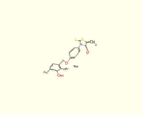 C=C1SC(=S)N(c2ccc(OCc3ccc(C(C)=O)c(O)c3CCC)cc2)C1=O.[Na]